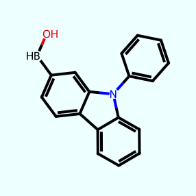 OBc1ccc2c3ccccc3n(-c3ccccc3)c2c1